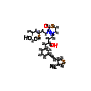 C=C/C=C(/CCN1C(=O)SCCN1CCC(O)Cc1cccc(C#Cc2cscc2C#N)c1)SC(=O)O